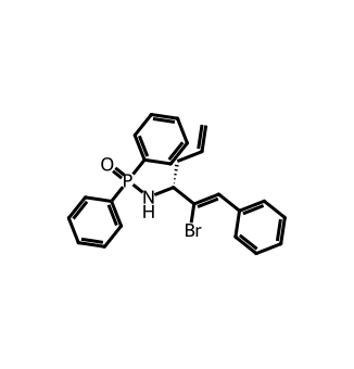 C=CC[C@@H](NP(=O)(c1ccccc1)c1ccccc1)C(Br)=Cc1ccccc1